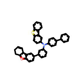 C1=Cc2c(oc3ccc(-c4cccc(N(c5ccc(-c6ccccc6)cc5)c5ccc6sc7ccccc7c6c5)c4)cc23)CC1